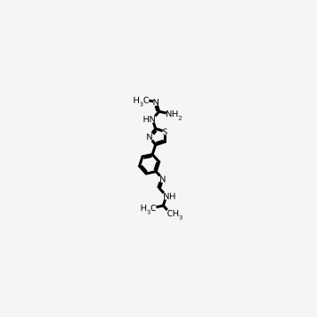 C/N=C(/N)Nc1nc(-c2cccc(/N=C/NC(C)C)c2)cs1